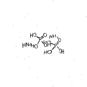 N.O=P(O)(O)O.O=P(O)(O)O.[NaH]